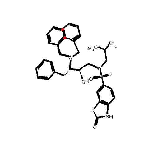 CC(C)CN(C[C@@H](O)[C@H](Cc1ccccc1)N(Cc1ccccc1)Cc1ccccc1)S(=O)(=O)c1ccc2[nH]c(=O)oc2c1